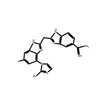 CC(C)c1nccn1-c1cc(F)cc2[nH]c(Cc3nc4cc(C(=N)N)ccc4[nH]3)nc12